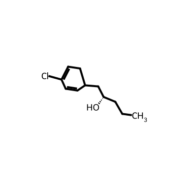 CCC[C@H](O)CC1C=CC(Cl)=CC1